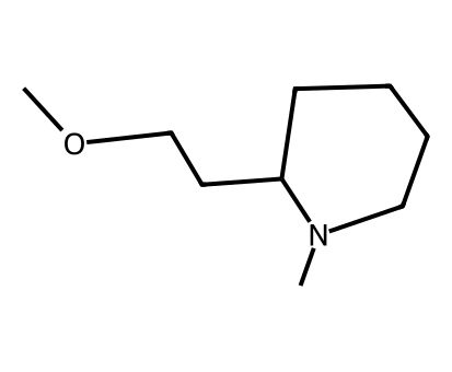 COCCC1CCCCN1C